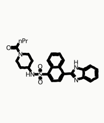 CCCC(=O)N1CCC(NS(=O)(=O)c2ccc(-c3nc4ccccc4[nH]3)c3ccccc23)CC1